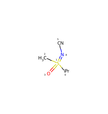 CC(C)S(C)(=O)=NC#N